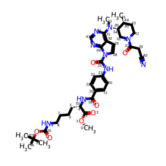 COC(=O)[C@H](CCCCNC(=O)OC(C)(C)C)NC(=O)c1ccc(NC(=O)n2ccc3c(N(C)[C@H]4CN(C(=O)CC#N)CC[C@H]4C)ncnc32)cc1